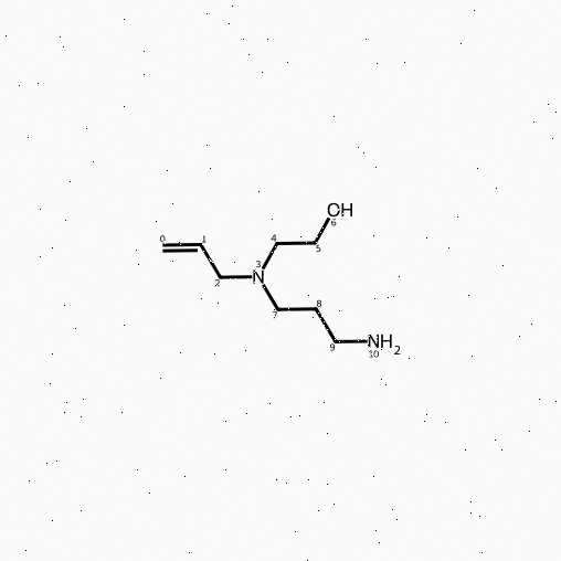 C=CCN(CCO)CCCN